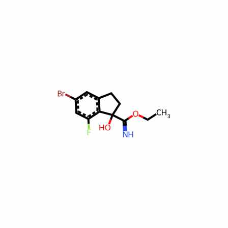 CCOC(=N)C1(O)CCc2cc(Br)cc(F)c21